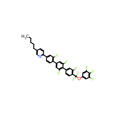 CCCCCc1ccc(-c2ccc(-c3cc(F)c(-c4ccc(C(F)(F)Oc5cc(F)c(F)c(F)c5)c(F)c4)c(F)c3)c(F)c2)nc1